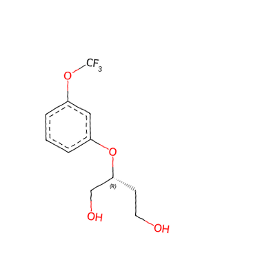 OCC[C@H](CO)Oc1cccc(OC(F)(F)F)c1